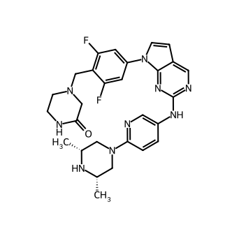 C[C@@H]1CN(c2ccc(Nc3ncc4ccn(-c5cc(F)c(CN6CCNC(=O)C6)c(F)c5)c4n3)cn2)C[C@H](C)N1